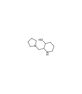 OC1CCCNC1CN1CCCC1